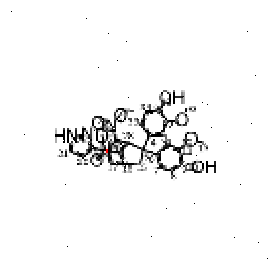 COc1cc(C2(c3ccc(O)c(OC)c3)Cc3cc(-c4cc[nH]n4)c([N+](=O)[O-])c2c3[N+](=O)[O-])ccc1O